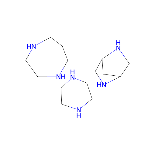 C1CNCCN1.C1CNCCNC1.C1NC2CNC1C2